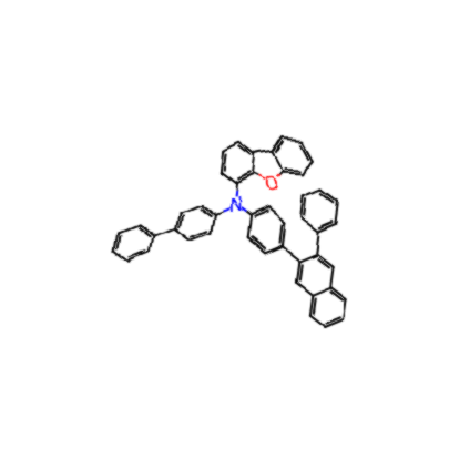 c1ccc(-c2ccc(N(c3ccc(-c4cc5ccccc5cc4-c4ccccc4)cc3)c3cccc4c3oc3ccccc34)cc2)cc1